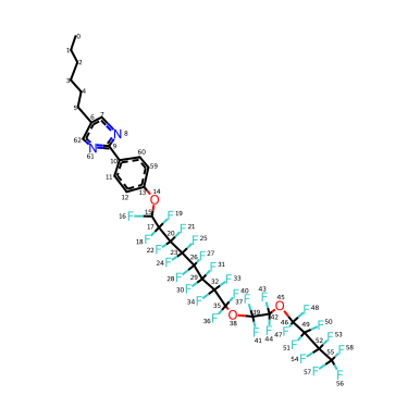 CCCCCCc1cnc(-c2ccc(OC(F)C(F)(F)C(F)(F)C(F)(F)C(F)(F)C(F)(F)C(F)(F)C(F)(F)OC(F)(F)C(F)(F)OC(F)(F)C(F)(F)C(F)(F)C(F)(F)F)cc2)nc1